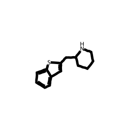 c1ccc2sc(CC3CCCCN3)cc2c1